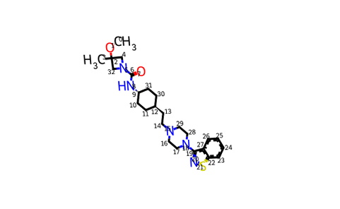 COC1(C)CN(C(=O)N[C@H]2CC[C@H](CCN3CCN(c4nsc5ccccc45)CC3)CC2)C1